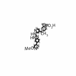 COc1cc(-c2ccc3nc(Nc4cc(C(C)N5CCN(C(=O)O)C(C(C)(C)C)C5)ccn4)[nH]c3c2)ncn1